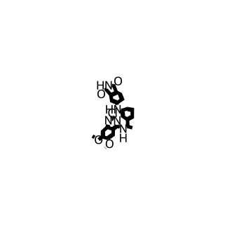 COc1cc2nc(Cl)nc(NC(C)c3cccc(Nc4ccc5c(c4)C(=O)NC5=O)c3)c2cc1OC